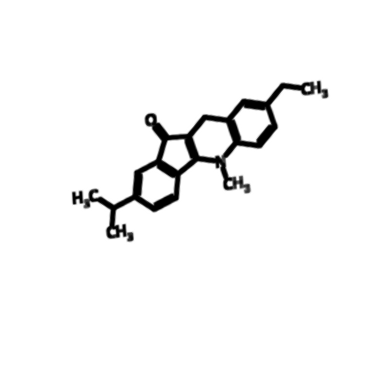 CCc1ccc2c(c1)CC1=C(c3ccc(C(C)C)cc3C1=O)N2C